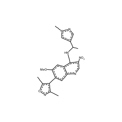 COc1cc2c(NC(C)c3cnn(C)c3)c([N+](=O)[O-])cnc2cc1-c1c(C)noc1C